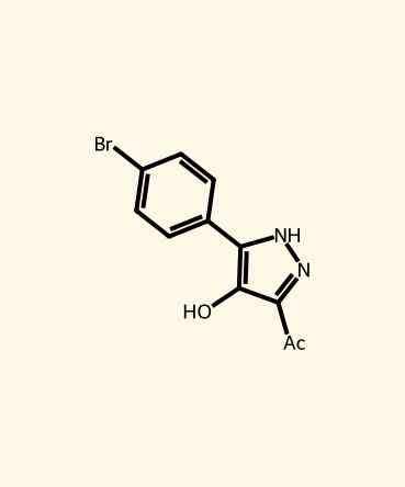 CC(=O)c1n[nH]c(-c2ccc(Br)cc2)c1O